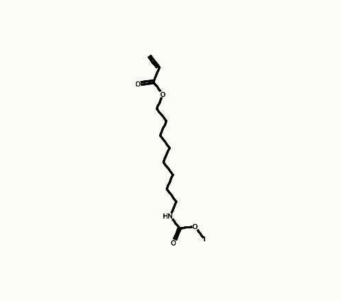 C=CC(=O)OCCCCCCCCNC(=O)OI